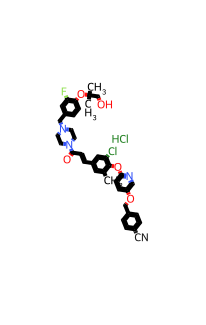 Cc1cc(C=CC(=O)N2CCN(Cc3ccc(OC(C)(C)CO)c(F)c3)CC2)cc(Cl)c1Oc1ccc(OCc2ccc(C#N)cc2)cn1.Cl